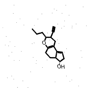 C#CC1CC2=C(CCC3C2=CC[C@@H]3O)OC1CCC